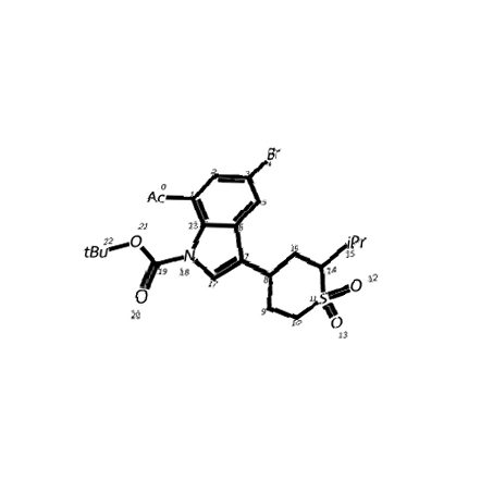 CC(=O)c1cc(Br)cc2c(C3CCS(=O)(=O)C(C(C)C)C3)cn(C(=O)OC(C)(C)C)c12